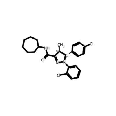 C[C@@H]1C(C(=O)NC2CCCCCC2)=NN(c2ccccc2Cl)[C@H]1c1ccc(Cl)cc1